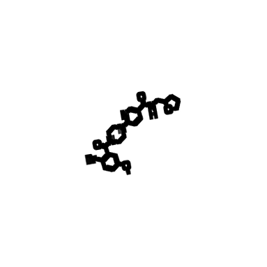 COc1ccc(Br)c(C(=O)N2CCN(c3ccc(C(=O)NCC4CCCO4)cn3)CC2)c1